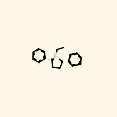 CCP1[C@H](c2ccccc2)CC[C@H]1c1ccccc1